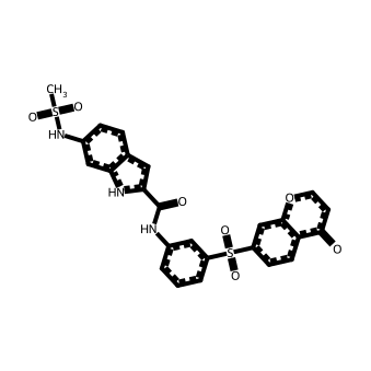 CS(=O)(=O)Nc1ccc2cc(C(=O)Nc3cccc(S(=O)(=O)c4ccc5c(=O)ccoc5c4)c3)[nH]c2c1